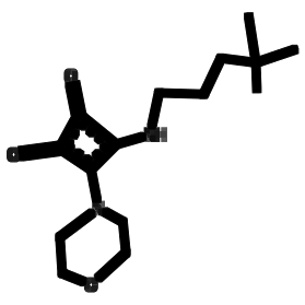 CC(C)(C)CCCNc1c(N2CCOCC2)c(=O)c1=O